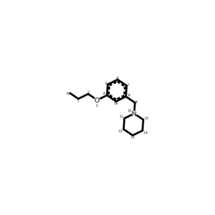 [CH2]CCOc1cccc(CN2CCCCC2)c1